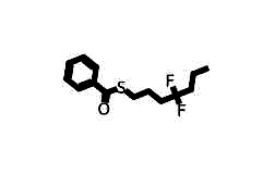 CCCC(F)(F)CCCSC(=O)c1ccccc1